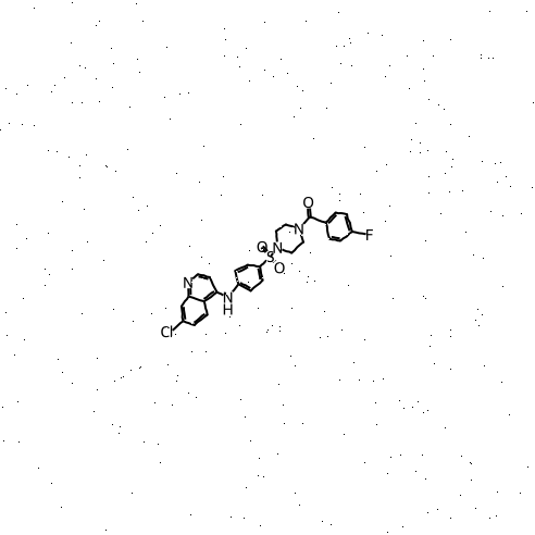 O=C(c1ccc(F)cc1)N1CCN(S(=O)(=O)c2ccc(Nc3ccnc4cc(Cl)ccc34)cc2)CC1